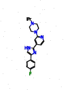 CC(C)N1CCN(c2cc(-c3nc(-c4ccc(F)cc4)c[nH]3)ccn2)CC1